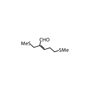 CSCC/C=C(\C=O)CSC